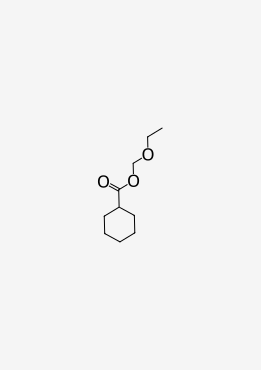 CCOCOC(=O)C1CCCCC1